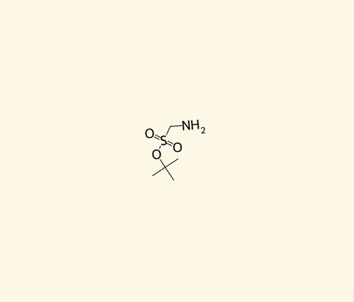 CC(C)(C)OS(=O)(=O)CN